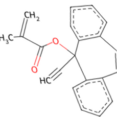 C#CC1(OC(=O)C(=C)C)c2ccccc2C=Cc2ccccc21